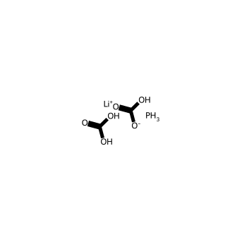 O=C(O)O.O=C([O-])O.P.[Li+]